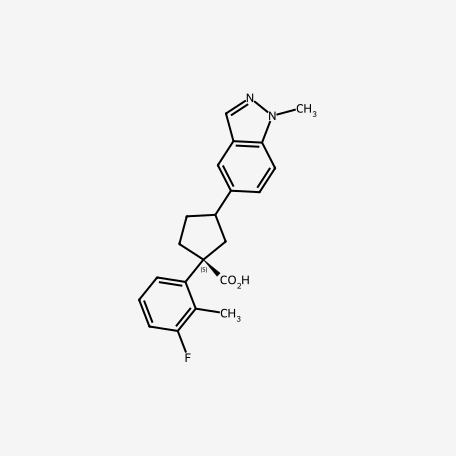 Cc1c(F)cccc1[C@]1(C(=O)O)CCC(c2ccc3c(cnn3C)c2)C1